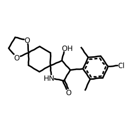 Cc1cc(Cl)cc(C)c1C1C(=O)NC2(CCC3(CC2)OCCO3)C1O